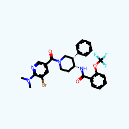 CN(C)c1ncc(C(=O)N2CC[C@@H](NC(=O)c3ccccc3OC(F)(F)F)[C@@H](c3ccccc3)C2)cc1Br